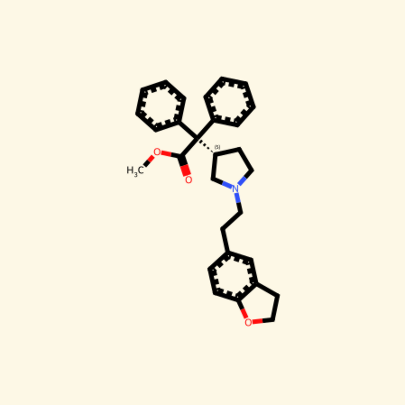 COC(=O)C(c1ccccc1)(c1ccccc1)[C@@H]1CCN(CCc2ccc3c(c2)CCO3)C1